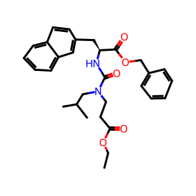 CCOC(=O)CCN(CC(C)C)C(=O)N[C@@H](Cc1ccc2ccccc2c1)C(=O)OCc1ccccc1